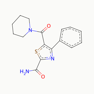 NC(=O)c1nc(-c2ccccc2)c(C(=O)N2CCCCC2)s1